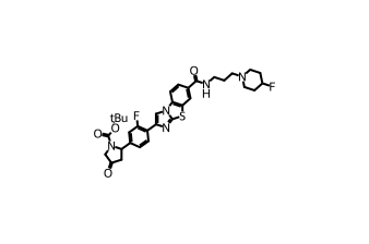 CC(C)(C)OC(=O)N1CC(=O)CC1c1ccc(-c2cn3c(n2)sc2cc(C(=O)NCCCN4CCC(F)CC4)ccc23)c(F)c1